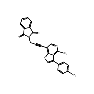 Nc1ccc(-c2csc3c(C#CCN4C(=O)c5ccccc5C4=O)cnc(N)c23)cc1